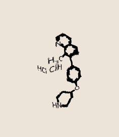 Cc1c(-c2ccc(OC3CCNCC3)cc2)ccc2cccnc12.Cl.Cl